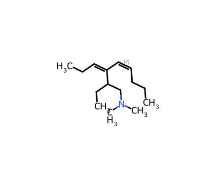 CCC=C(/C=C\CCC)C(CC)CN(C)C